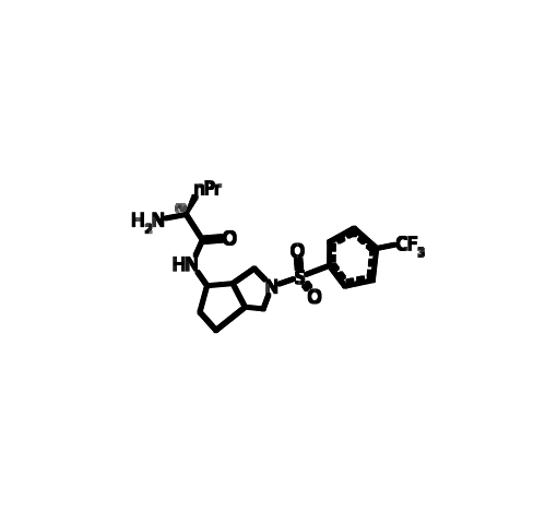 CCC[C@H](N)C(=O)NC1CCC2CN(S(=O)(=O)c3ccc(C(F)(F)F)cc3)CC21